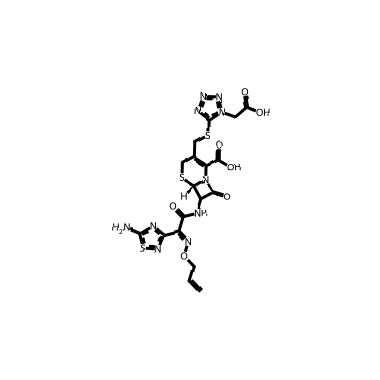 C=CCON=C(C(=O)NC1C(=O)N2C(C(=O)O)=C(CSc3nnnn3CC(=O)O)CS[C@@H]12)c1nsc(N)n1